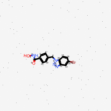 O=C(NO)c1ccc(Cn2nnc3cc(Br)ccc32)cc1